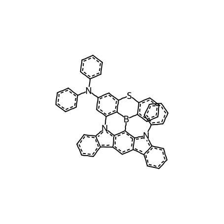 c1ccc(N(c2ccccc2)c2cc3c4c(c2)-n2c5ccccc5c5cc6c7ccccc7n(-c7ccccc7)c6c(c52)B4c2ccccc2S3)cc1